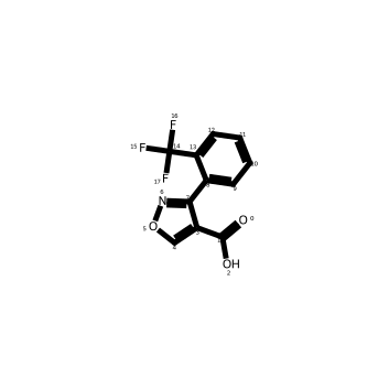 O=C(O)c1conc1-c1ccccc1C(F)(F)F